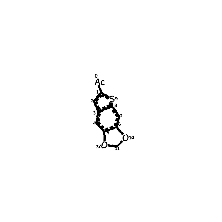 CC(=O)c1cc2cc3c(cc2s1)OCO3